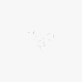 CC(C)(C)OC(=O)N1Cc2nc(N)nc(-c3ccccc3)c2C1